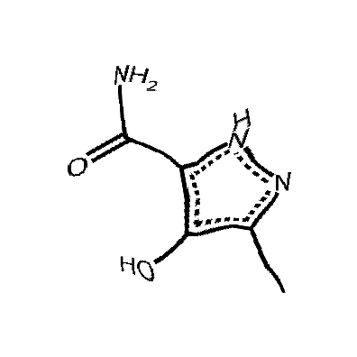 Cc1n[nH]c(C(N)=O)c1O